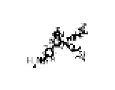 C[Si](C)(C)CCOCN(COCC[Si](C)(C)C)c1cc(C2CCC(=CN)CC2)nc2ccnn12